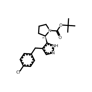 CC(C)(C)OC(=O)N1CCC[C@@H]1c1[nH]ncc1Cc1ccc(Cl)cc1